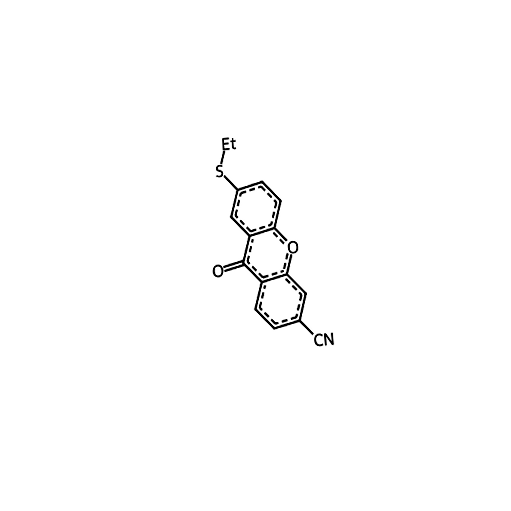 CCSc1ccc2oc3cc(C#N)ccc3c(=O)c2c1